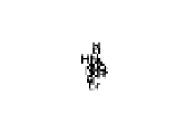 CN1CCC(c2nc(-c3ccc(F)cc3)c(-c3ccnc(Nc4cccc(Br)c4)n3)[nH]2)CC1